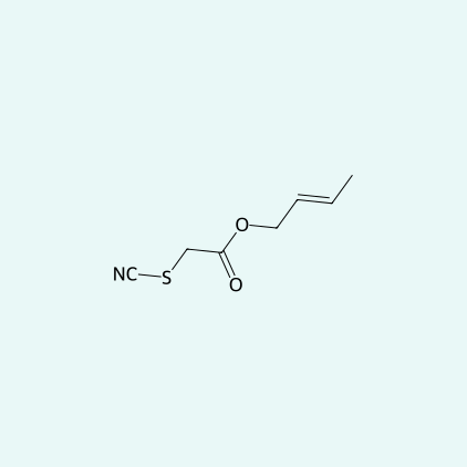 C/C=C/COC(=O)CSC#N